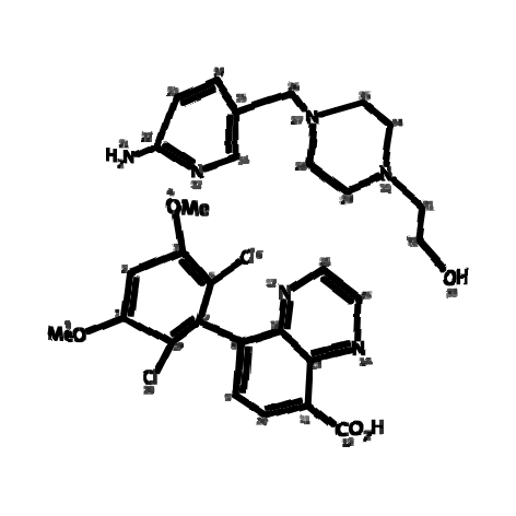 COc1cc(OC)c(Cl)c(-c2ccc(C(=O)O)c3nccnc23)c1Cl.Nc1ccc(CN2CCN(CCO)CC2)cn1